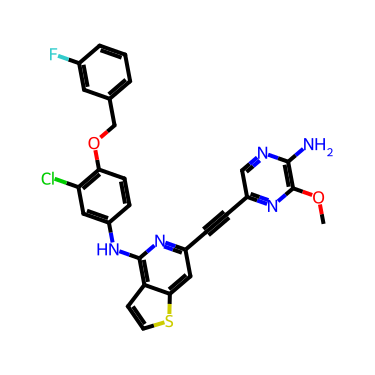 COc1nc(C#Cc2cc3sccc3c(Nc3ccc(OCc4cccc(F)c4)c(Cl)c3)n2)cnc1N